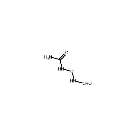 NC(=O)NONC=O